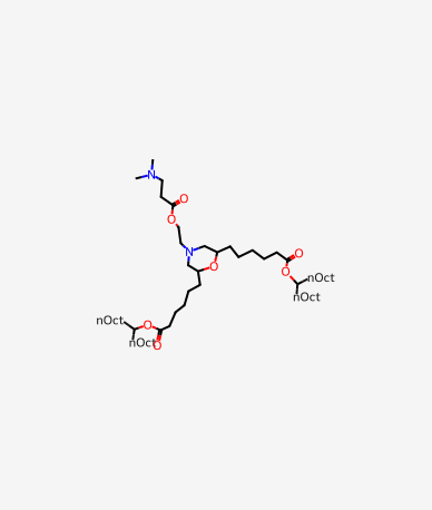 CCCCCCCCC(CCCCCCCC)OC(=O)CCCCCC1CN(CCOC(=O)CCN(C)C)CC(CCCCCC(=O)OC(CCCCCCCC)CCCCCCCC)O1